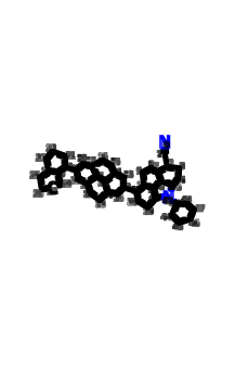 N#Cc1ccc2c3c1ccc1c(-c4cc5ccc6cc(-c7cccc8ccccc78)cc7ccc(c4)c5c67)ccc(c13)n2-c1ccccc1